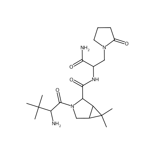 CC(C)(C)C(N)C(=O)N1CC2C(C1C(=O)NC(CN1CCCC1=O)C(N)=O)C2(C)C